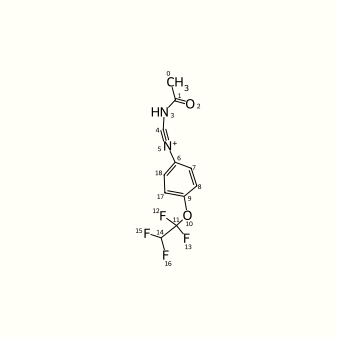 CC(=O)NC#[N+]c1ccc(OC(F)(F)C(F)F)cc1